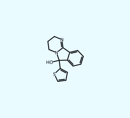 OC1(c2cccs2)c2ccccc2C2=NCCCN21